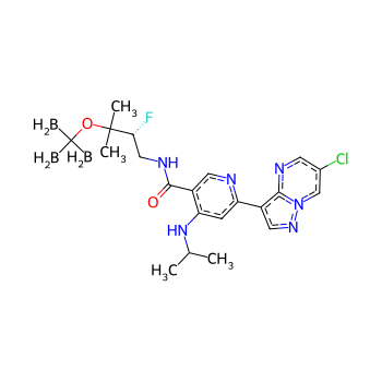 BC(B)(B)OC(C)(C)[C@H](F)CNC(=O)c1cnc(-c2cnn3cc(Cl)cnc23)cc1NC(C)C